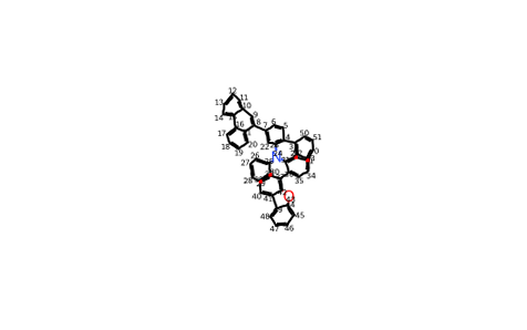 c1ccc(-c2ccc(-c3cc4ccccc4c4ccccc34)cc2N(c2ccccc2)c2ccccc2-c2cccc3c2oc2ccccc23)cc1